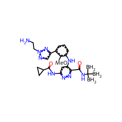 BC(B)(B)NC(=O)c1nnc(NC(=O)C2CC2)cc1Nc1cccc(-c2cnn(CCN)n2)c1OC